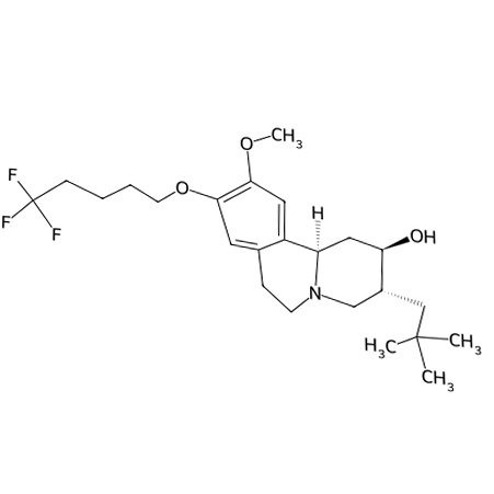 COc1cc2c(cc1OCCCCC(F)(F)F)CCN1C[C@@H](CC(C)(C)C)[C@H](O)C[C@H]21